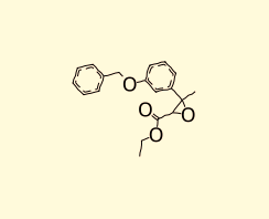 CCOC(=O)C1OC1(C)c1cccc(OCc2ccccc2)c1